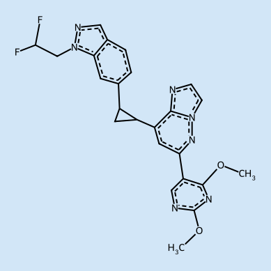 COc1ncc(-c2cc(C3CC3c3ccc4cnn(CC(F)F)c4c3)c3nccn3n2)c(OC)n1